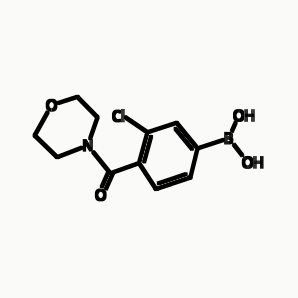 O=C(c1ccc(B(O)O)cc1Cl)N1CCOCC1